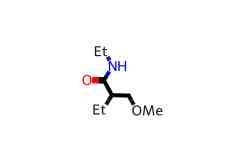 CCNC(=O)C(CC)COC